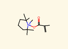 C=C(C)C(=O)O[N+]1(C)C(C)(C)CCCC1(C)C